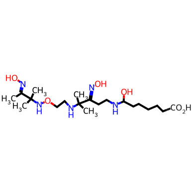 C/C(=N\O)C(C)(C)NOCCNC(C)(C)/C(CCNC(O)CCCCCC(=O)O)=N/O